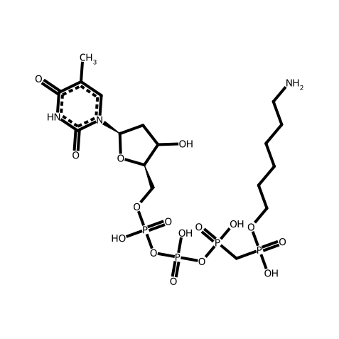 Cc1cn([C@H]2CC(O)[C@@H](COP(=O)(O)OP(=O)(O)OP(=O)(O)CP(=O)(O)OCCCCCCN)O2)c(=O)[nH]c1=O